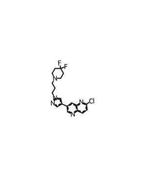 FC1(F)CCN(CCCn2cc(-c3cnc4ccc(Cl)nc4c3)cn2)CC1